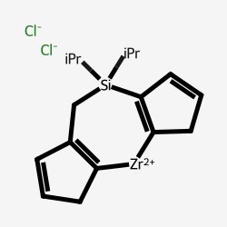 CC(C)[Si]1(C(C)C)CC2=[C](CC=C2)[Zr+2][C]2=C1C=CC2.[Cl-].[Cl-]